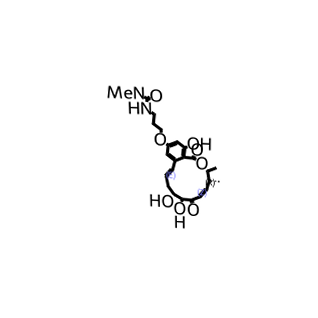 CNC(=O)NCCCOc1cc(O)c2c(c1)/C=C/CC(O)C(O)C(=O)/C=C\[C@@H](C)C(C)OC2=O